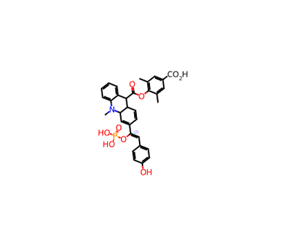 Cc1cc(C(=O)O)cc(C)c1OC(=O)C1c2ccccc2N(C)C2C=C(/C(=C/c3ccc(O)cc3)OP(=O)(O)O)C=CC12